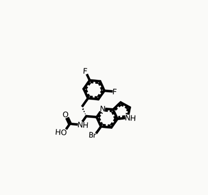 O=C(O)N[C@H](Cc1cc(F)cc(F)c1)c1nc2cc[nH]c2cc1Br